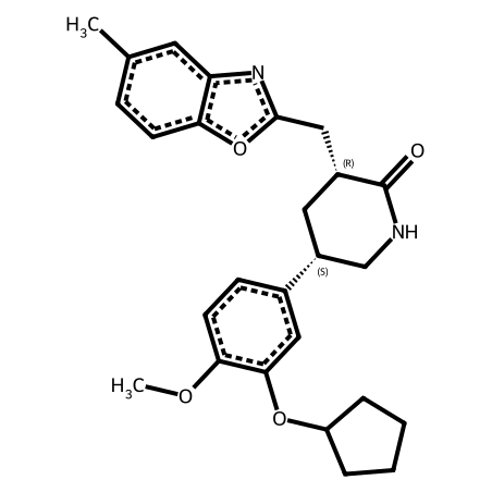 COc1ccc([C@H]2CNC(=O)[C@@H](Cc3nc4cc(C)ccc4o3)C2)cc1OC1CCCC1